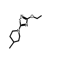 CCOc1nsc(N2CCC(C)CC2)n1